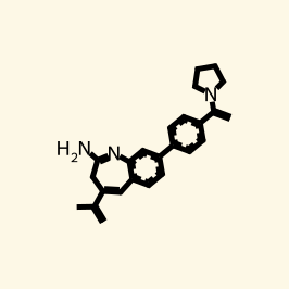 C=C(C)C1=Cc2ccc(-c3ccc(C(=C)N4CCCC4)cc3)cc2N=C(N)C1